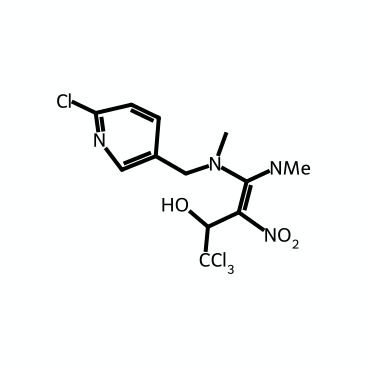 CNC(=C(C(O)C(Cl)(Cl)Cl)[N+](=O)[O-])N(C)Cc1ccc(Cl)nc1